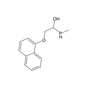 CPC(O)COc1cccc2ccccc12